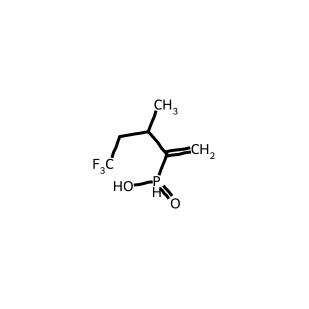 C=C(C(C)CC(F)(F)F)[PH](=O)O